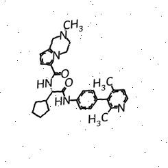 Cc1ccnc(C)c1-c1ccc(NC(=O)[C@@H](NC(=O)c2ccc3n2CCN(C)C3)C2CCCC2)cc1